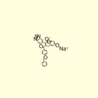 COc1cccc(CC(C(=O)c2ccc(OCc3ccccc3)cc2)=C(C(=O)[O-])c2ccc3nsnc3c2)c1.[Na+]